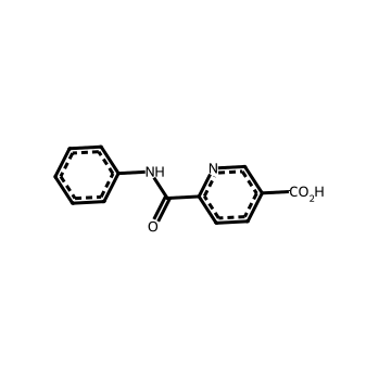 O=C(O)c1ccc(C(=O)Nc2ccccc2)nc1